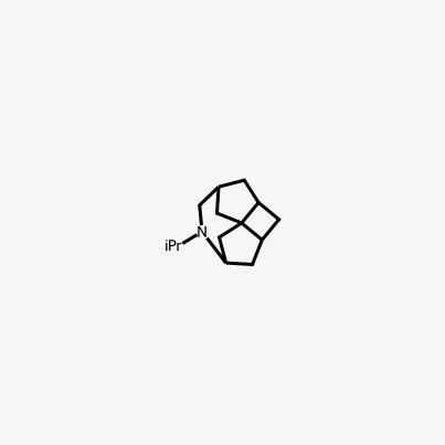 CC(C)N1CC2CC3CC4CC1CC34C2